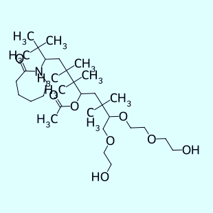 CC(=O)OC(CC(C)(C)C(COCCO)OCCOCCO)C(C)(C)C(C)(C)CC(N1CCCCCC1=O)C(C)(C)C